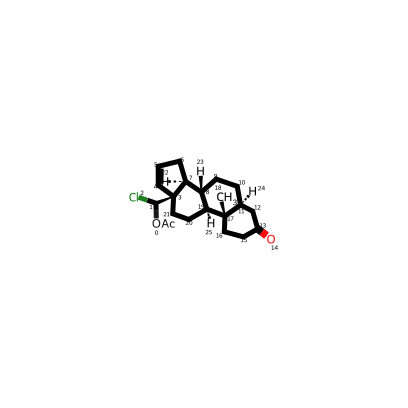 CC(=O)OC(Cl)[C@@]12C=CC[C@H]1[C@@H]1CC[C@H]3CC(=O)CC[C@]3(C)[C@H]1CC2